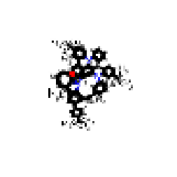 CC(C)(C)c1ccc(-c2cc3c4cc2C(C)(C)c2cccc(c2)N2c5cc(C(C)(C)C)ccc5B5c6ccccc6N(c6ccc(C(C)(C)C)cc6-c6ccccc6)c6cc(cc2c65)N4C2(C)CCCCC32C)cc1